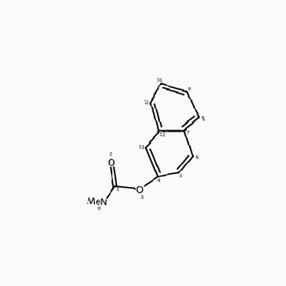 CNC(=O)Oc1ccc2ccccc2c1